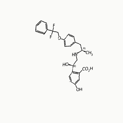 C[C@H](Cc1ccc(OCC(F)(F)c2ccccc2)cc1)NC[C@H](O)c1c[c]c(O)cc1C(=O)O